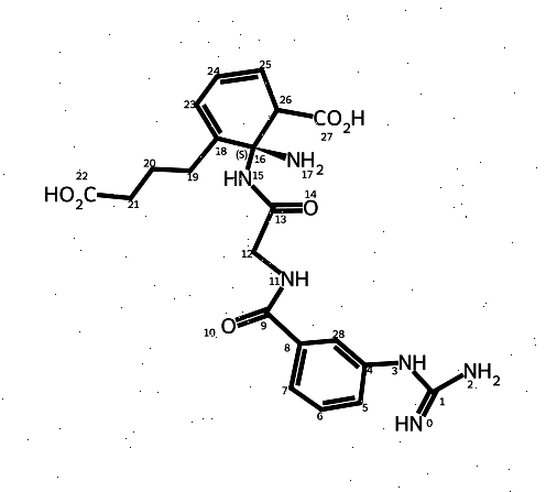 N=C(N)Nc1cccc(C(=O)NCC(=O)N[C@]2(N)C(CCCC(=O)O)=CC=CC2C(=O)O)c1